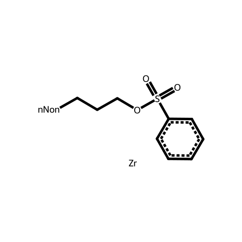 CCCCCCCCCCCCOS(=O)(=O)c1ccccc1.[Zr]